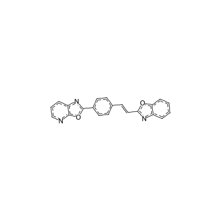 C(=C\c1nc2ccccc2o1)/c1ccc(-c2nc3cccnc3o2)cc1